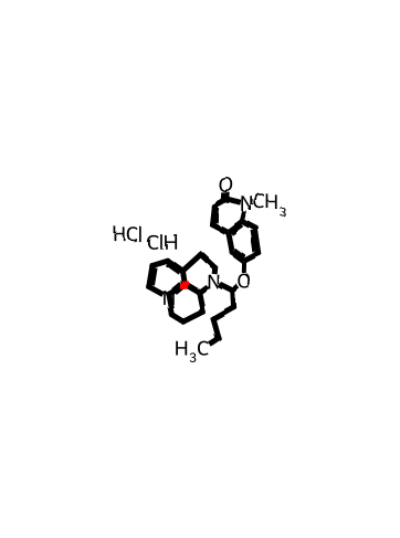 CCCCC(Oc1ccc2c(ccc(=O)n2C)c1)N(CCc1cccnc1)C1CCCCC1.Cl.Cl